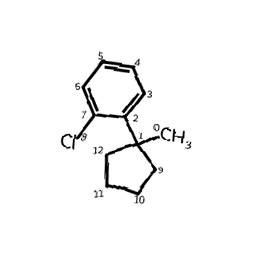 CC1(c2ccccc2Cl)CCCC1